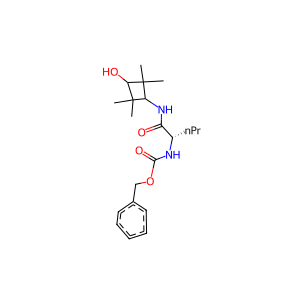 CCC[C@H](NC(=O)OCc1ccccc1)C(=O)NC1C(C)(C)C(O)C1(C)C